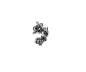 CCCn1c(=O)c2[nH]c(-c3cnn(Cc4noc(-c5ccccc5OC)n4)c3)nc2n(CCC)c1=O